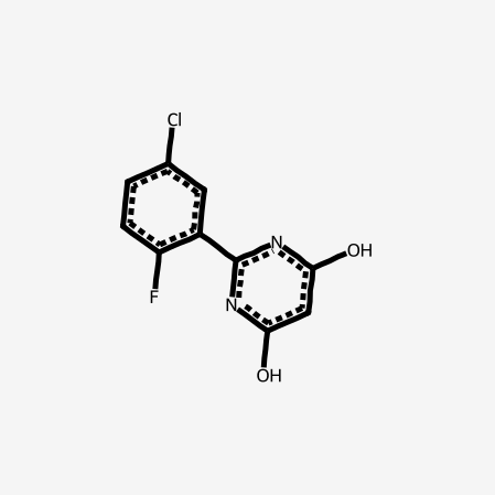 Oc1cc(O)nc(-c2cc(Cl)ccc2F)n1